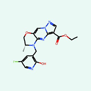 CCOC(=O)c1cnn2cc3c(nc12)N(Cc1cc(F)cnc1O)[C@H](C)CO3